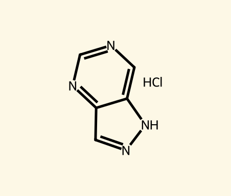 Cl.c1ncc2[nH]ncc2n1